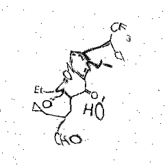 CCS(=O)(=O)C(CC(C=O)C1CC1)C(=O)c1ncc(C=C(Cl)C(F)(F)F)n1C.CO